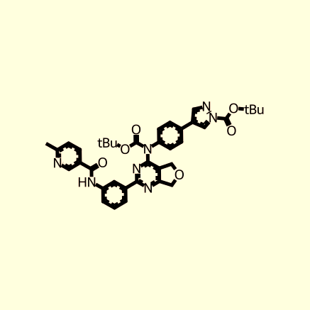 Cc1ccc(C(=O)Nc2cccc(-c3nc4c(c(N(C(=O)OC(C)(C)C)c5ccc(-c6cnn(C(=O)OC(C)(C)C)c6)cc5)n3)COC4)c2)cn1